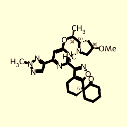 CO[C@@H]1C[C@@H]([C@H](C)Oc2cc(-c3cnn(C)n3)nc(-c3noc4c3CCC[C@@]43CCCCC3=O)n2)N(C)C1